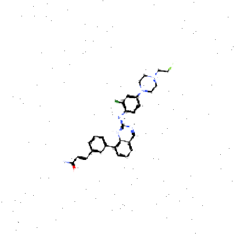 NC(=O)C=Cc1cccc(-c2cccc3cnc(Nc4ccc(N5CCN(CCF)CC5)cc4Cl)nc23)c1